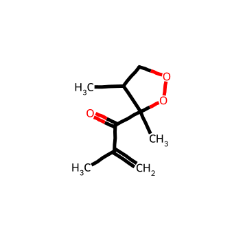 C=C(C)C(=O)C1(C)OOCC1C